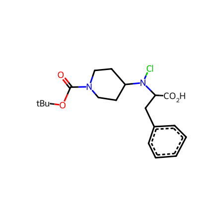 CC(C)(C)OC(=O)N1CCC(N(Cl)C(Cc2ccccc2)C(=O)O)CC1